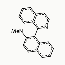 CNc1ccc2ccccc2c1-c1nccc2ccccc12